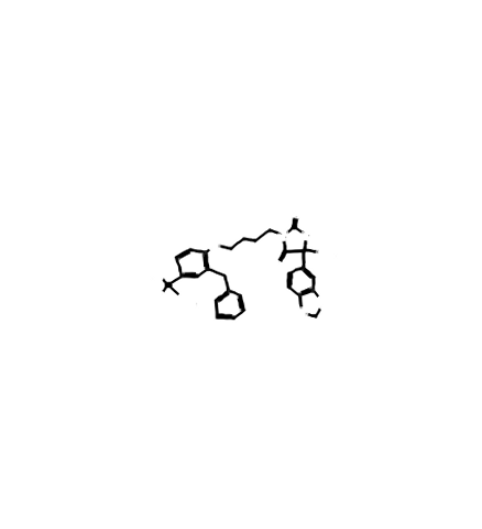 CC1(c2ccc3c(c2)OCO3)NC(=O)N(CCCCOc2ccc(C(O)(C(F)(F)F)C(F)(F)F)cc2Cc2ccccc2)C1=O